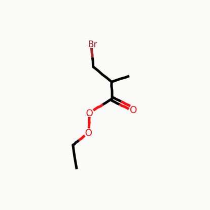 CCOOC(=O)C(C)CBr